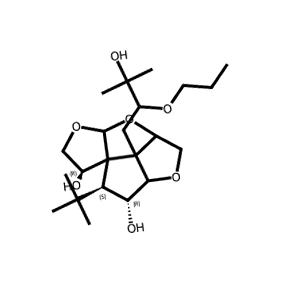 CCCOC(CC12C3COC1[C@H](O)[C@@H](C(C)(C)C)C21C(OC[C@@H]1O)O3)C(C)(C)O